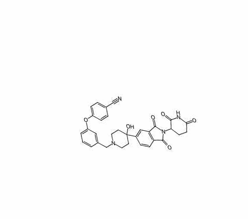 N#Cc1ccc(Oc2cccc(CN3CCC(O)(c4ccc5c(c4)C(=O)N(C4CCC(=O)NC4=O)C5=O)CC3)c2)cc1